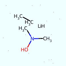 CC.CN(C)O.[LiH]